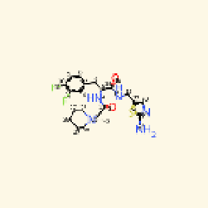 C[C@@H](C(=O)N[C@@H](Cc1ccc(F)c(F)c1)C(=O)NCc1cnc(N)s1)N1CCCCC1